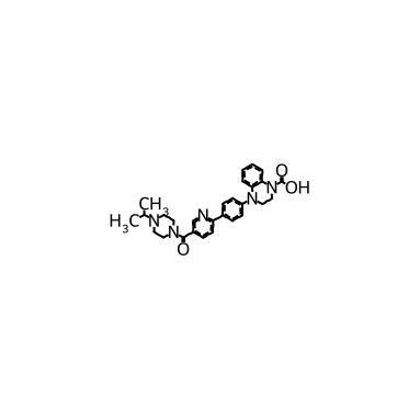 CC(C)N1CCN(C(=O)c2ccc(-c3ccc(N4CCN(C(=O)O)c5ccccc54)cc3)nc2)CC1